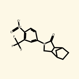 O=C1C2C3CCC(C3)C2CN1c1ccc([N+](=O)[O-])c(C(F)(F)F)c1